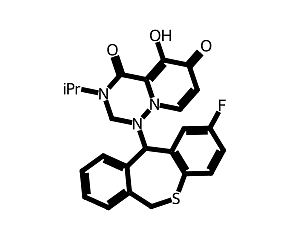 CC(C)N1CN(C2c3ccccc3CSc3ccc(F)cc32)n2ccc(=O)c(O)c2C1=O